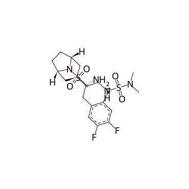 CN(C)S(=O)(=O)NCCS(=O)(=O)N1[C@@H]2CC[C@H]1C[C@H]([C@H](N)Cc1cc(F)c(F)cc1F)C2